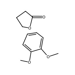 COc1ccccc1OC.O=C1CCCO1